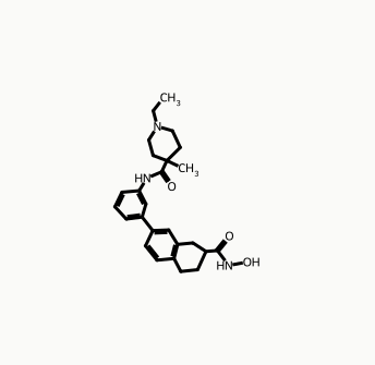 CCN1CCC(C)(C(=O)Nc2cccc(-c3ccc4c(c3)CC(C(=O)NO)CC4)c2)CC1